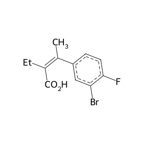 CCC(C(=O)O)=C(C)c1ccc(F)c(Br)c1